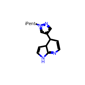 CCCC(C)n1cc(C2C=CN=C3NC=CC32)cn1